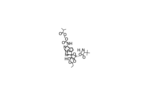 CCC(=O)O[C@H]1[C@@H](O)[C@](C#N)(c2ccc3c(NC(=O)OCOC(=O)C(C)C)ncnn23)O[C@@H]1COC(=O)C(N)C(C)(C)C